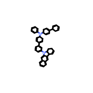 C1=CCC(C2=CCC(N(c3ccccc3)C3C=CC(c4cccc(N5c6cc7ccccc7cc6C6C=CCCC65)c4)=CC3)C=C2)C=C1